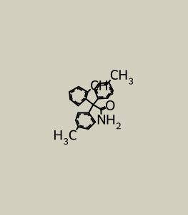 Cc1ccc(C(C(N)=O)(c2ccc(C)cc2)c2ccccc2C)cc1